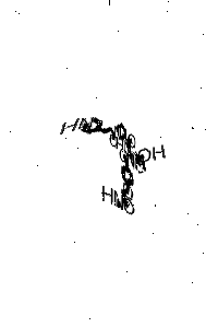 CNC(=O)COc1ccc(C(=O)N[C@@H](CC(=O)O)NC(=O)[C@@H]2CCCN(C(=O)CCC3CCNCC3)C2)cc1